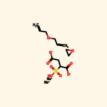 C1CO1.C=CCOCC=C.O=C([O-])CC(C(=O)[O-])S(=O)(=O)O.[Na+].[Na+]